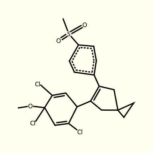 COC1(Cl)C=C(Cl)C(C2=C(c3ccc(S(C)(=O)=O)cc3)CC3(CC3)C2)C=C1Cl